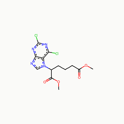 COC(=O)CCCC(C(=O)OC)n1cnc2nc(Cl)nc(Cl)c21